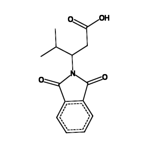 CC(C)C(CC(=O)O)N1C(=O)c2ccccc2C1=O